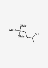 CO[Si](CSC(C)S)(OC)OC